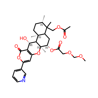 COCOCC(=O)O[C@H]1CC2C(C)(COC(C)=O)[C@@H](C)CC[C@]2(C)C2[C@@H](O)c3c(cc(-c4cccnc4)oc3=O)O[C@@]21C